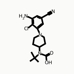 CC(C)(C)N(C(=O)O)C1CCN(c2cc(C#N)cc(N)c2Cl)CC1